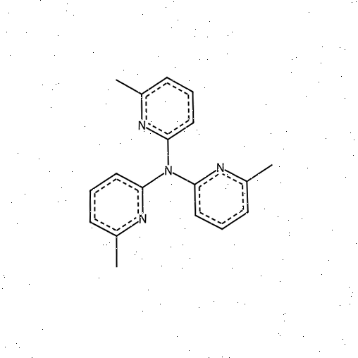 Cc1cccc(N(c2cccc(C)n2)c2cccc(C)n2)n1